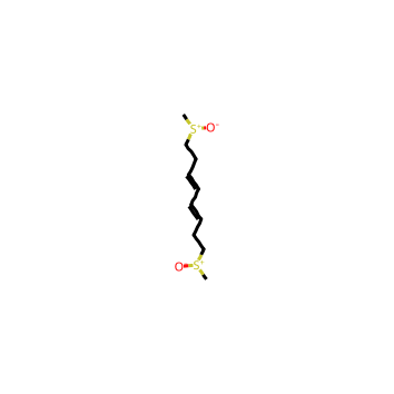 C[S+]([O-])CCC=CC=CCC[S+](C)[O-]